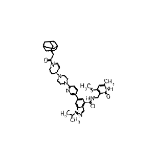 CSc1cc(C)[nH]c(=O)c1CNC(=O)c1cc(-c2ccc(N3CCN(C4CCN(C(=O)CC56CC7CC(CC(C7)C5)C6)CC4)CC3)nc2)cc2c1cnn2C(C)C